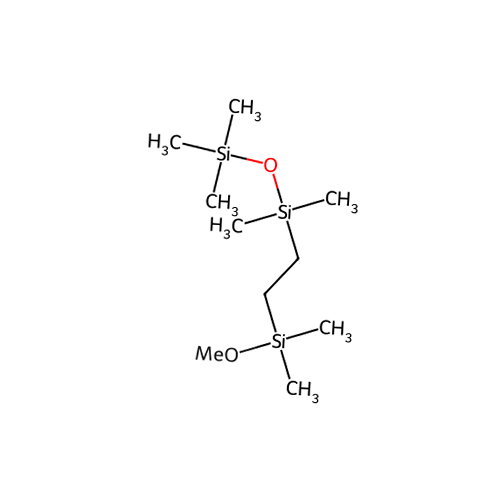 CO[Si](C)(C)CC[Si](C)(C)O[Si](C)(C)C